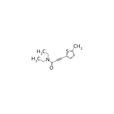 CCN(CC)C(=O)C#Cc1ccc(C)s1